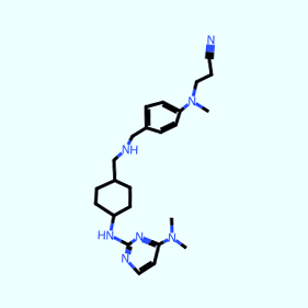 CN(C)c1ccnc(NC2CCC(CNCc3ccc(N(C)CCC#N)cc3)CC2)n1